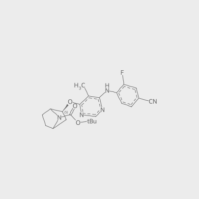 Cc1c(Nc2ccc(C#N)cc2F)ncnc1O[C@H]1CC2CCC1N2C(=O)OC(C)(C)C